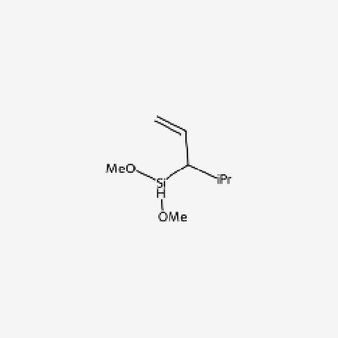 C=CC(C(C)C)[SiH](OC)OC